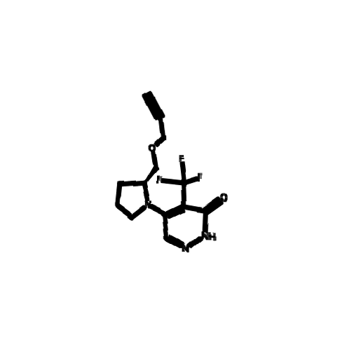 C#CCOC[C@@H]1CCCN1c1cn[nH]c(=O)c1C(F)(F)F